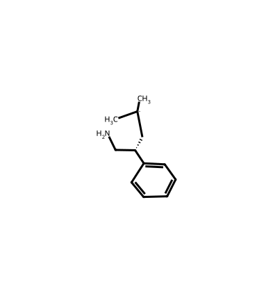 C[C](C)C[C@@H](CN)c1ccccc1